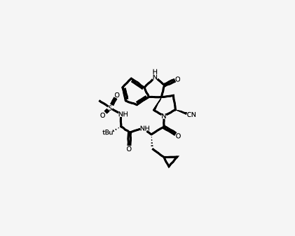 CC(C)(C)[C@H](NS(C)(=O)=O)C(=O)N[C@@H](CC1CC1)C(=O)N1C[C@]2(C[C@H]1C#N)C(=O)Nc1ccccc12